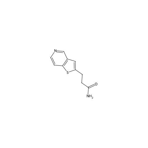 NC(=O)CCc1cc2cnccc2s1